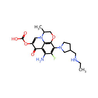 CCNCC1CCN(c2c(F)c(N)c3c(=O)c(OC(=O)O)cn4c3c2OCC4C)C1